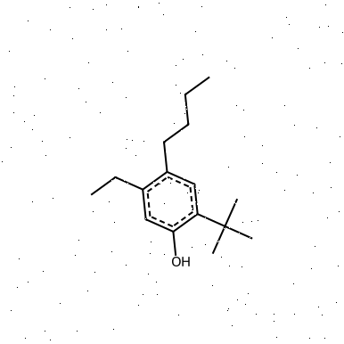 CCCCc1cc(C(C)(C)C)c(O)cc1CC